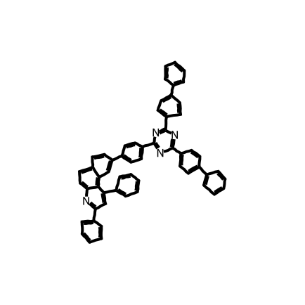 c1ccc(-c2ccc(-c3nc(-c4ccc(-c5ccccc5)cc4)nc(-c4ccc(-c5ccc6ccc7nc(-c8ccccc8)cc(-c8ccccc8)c7c6c5)cc4)n3)cc2)cc1